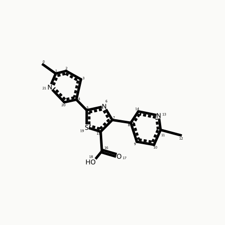 Cc1ccc(-c2nc(-c3ccc(C)nc3)c(C(=O)O)s2)cn1